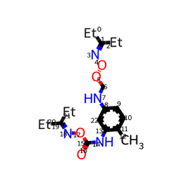 CCC(CC)=NOOCNc1ccc(C)c(NC(=O)ON=C(CC)CC)c1